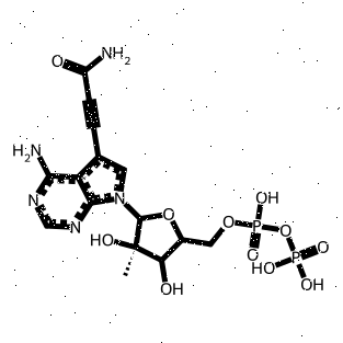 C[C@@]1(O)C(O)C(COP(=O)(O)OP(=O)(O)O)OC1n1cc(C#CC(N)=O)c2c(N)ncnc21